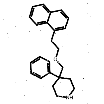 c1ccc(C2(COCCc3cccc4ccccc34)CCNCC2)cc1